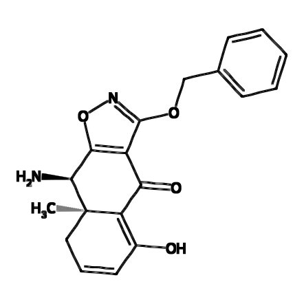 C[C@@]12CC=CC(O)=C1C(=O)c1c(OCc3ccccc3)noc1[C@@H]2N